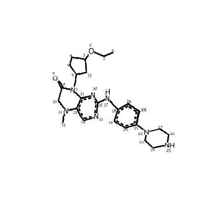 CCOC1CCC(N2C(=O)CN(C)c3cnc(Nc4ccc(N5CCNCC5)cc4)nc32)C1